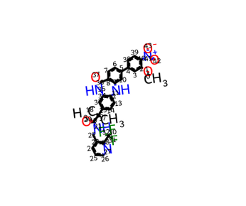 COc1cc(-c2ccc3c(c2)Nc2ccc(C(C)(C)C(=O)NCc4cccnc4C(F)(F)F)cc2NC3=O)ccc1[N+](=O)[O-]